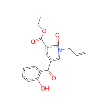 C=CCn1cc(C(=O)c2ccccc2O)cc(C(=O)OCC)c1=O